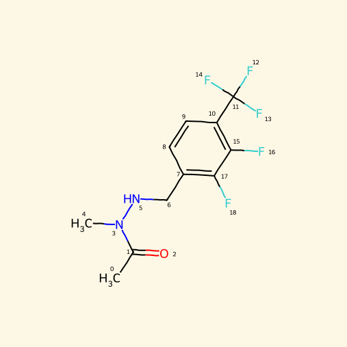 CC(=O)N(C)NCc1ccc(C(F)(F)F)c(F)c1F